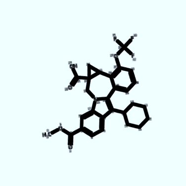 COC(=O)c1ccc2c(C3CCCCC3)c3n(c2c1)CC1(C(=O)O)CC1c1c(OC(F)(F)F)cccc1-3